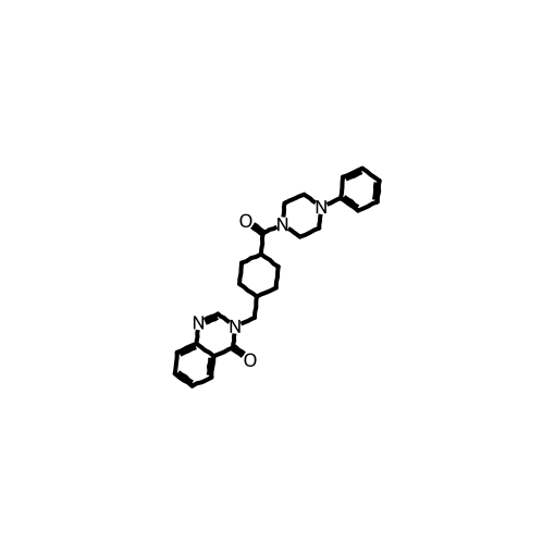 O=C(C1CCC(Cn2cnc3ccccc3c2=O)CC1)N1CCN(c2ccccc2)CC1